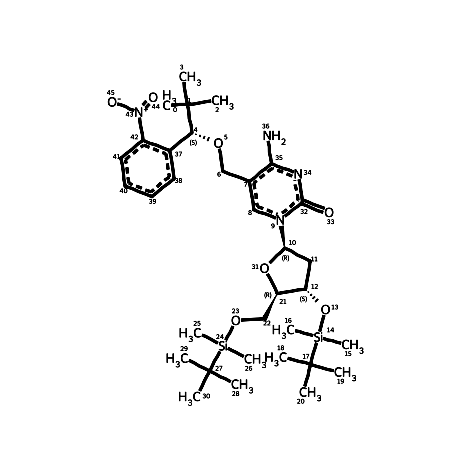 CC(C)(C)[C@H](OCc1cn([C@H]2C[C@H](O[Si](C)(C)C(C)(C)C)[C@@H](CO[Si](C)(C)C(C)(C)C)O2)c(=O)nc1N)c1ccccc1[N+](=O)[O-]